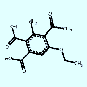 CCOc1cc(C(=O)O)c(C(=O)O)c(N)c1C(C)=O